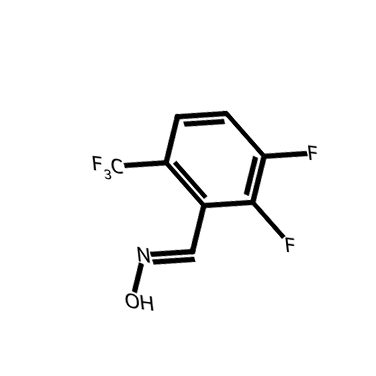 ON=Cc1c(C(F)(F)F)ccc(F)c1F